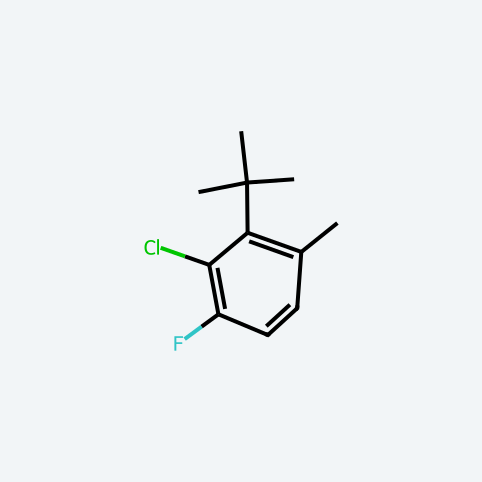 Cc1ccc(F)c(Cl)c1C(C)(C)C